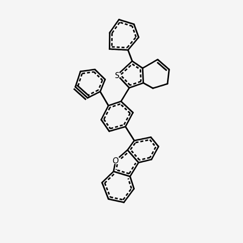 c1cccc(-c2ccc(-c3cccc4c3oc3ccccc34)cc2-c2sc(-c3ccccc3)c3c2CCC=C3)c#1